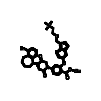 CC(C)(C)OC(=O)c1ccc(N2CC(=O)N(C3CCCCc4c(Br)cccc43)CC2=O)cc1Oc1cnc2c(ccn2COCC[Si](C)(C)C)c1